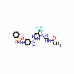 CC(=O)NCCNc1nc(Nc2ccc(NS(=O)(=O)c3ccccc3)cc2)ncc1C(F)(F)F